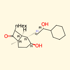 CCCCCCC1C(=O)[C@]2(C)CC[C@H](O)[C@@H](/C=C/[C@H](O)C3CCCCC3)[C@H]12